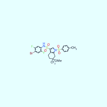 CO[C@@]1(C(F)(F)F)CCc2c(S(=O)(=O)Nc3cc(F)c(Br)cc3F)cn(S(=O)(=O)c3ccc(C)cc3)c2C1